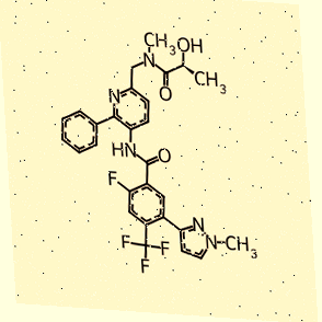 C[C@H](O)C(=O)N(C)Cc1ccc(NC(=O)c2cc(-c3ccn(C)n3)c(C(F)(F)F)cc2F)c(-c2ccccc2)n1